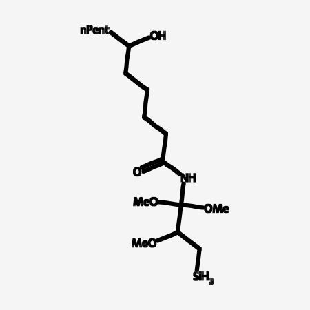 CCCCCC(O)CCCCC(=O)NC(OC)(OC)C(C[SiH3])OC